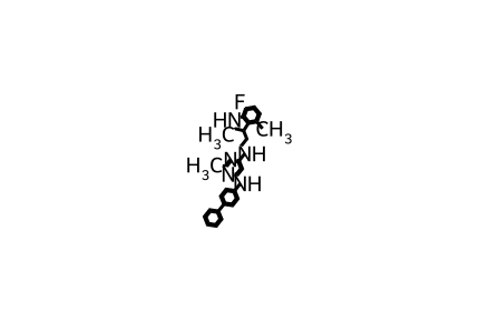 Cc1nc(NCCC2c3c(C)ccc(F)c3NC2C)cc(Nc2ccc(-c3ccccc3)cc2)n1